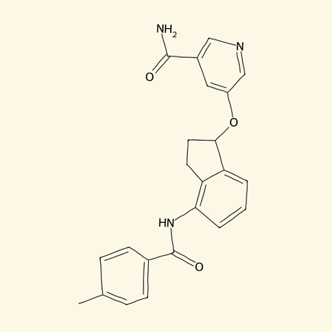 Cc1ccc(C(=O)Nc2cccc3c2CCC3Oc2cncc(C(N)=O)c2)cc1